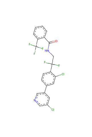 O=C(NCC(F)(F)c1ccc(-c2cncc(Cl)c2)cc1Cl)c1ccccc1C(F)(F)F